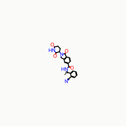 C[C@@H](NC(=O)c1ccc2c(c1)CN(C1CCC(=O)NC1=O)C2=O)c1ccccc1C#N